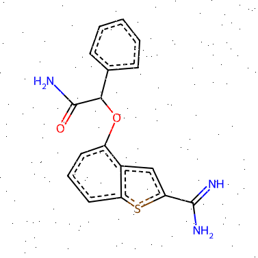 N=C(N)c1cc2c(OC(C(N)=O)c3ccccc3)cccc2s1